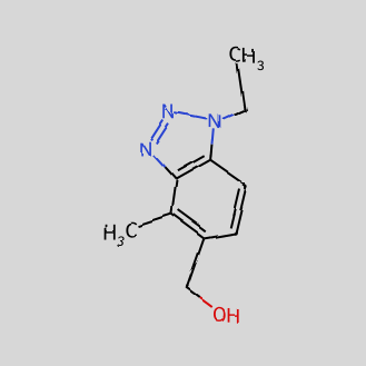 CCn1nnc2c(C)c(CO)ccc21